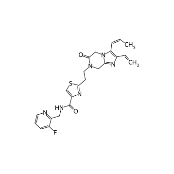 C=Cc1nc2n(c1/C=C\C)CC(=O)N(CCc1nc(C(=O)NCc3ncccc3F)cs1)C2